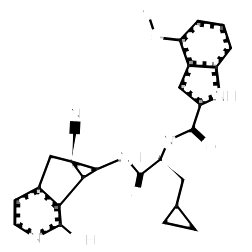 COc1cccc2[nH]c(C(=O)N[C@@H](CC3CC3)C(=O)NC3C4c5c(ccnc5O)C[C@]34C#N)cc12